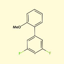 COc1ccccc1-c1cc(F)[c]c(F)c1